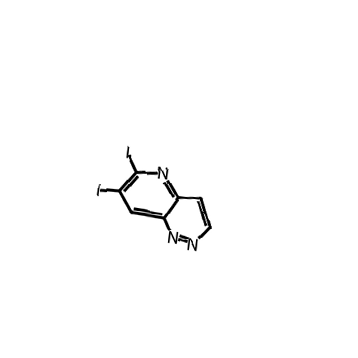 Ic1cc2nnccc2nc1I